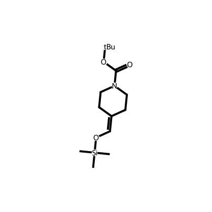 CC(C)(C)OC(=O)N1CCC(=CO[Si](C)(C)C)CC1